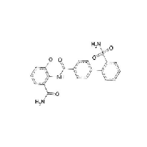 NC(=O)c1cccc([O])c1NC(=O)c1ccc(-c2ccccc2S(N)(=O)=O)cc1